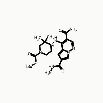 CC(C)(C)OC(=O)N1CC[C@@H](Nc2c(C(N)=O)cnn3cc(C(=O)NN)cc23)C(C)(C)C1